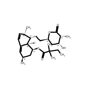 CCC(C)(C)C(=O)O[C@H]1C[C@@H](C)C=C2C=C[C@H](C)[C@H](CC[C@@H]3C[C@@H](O)[C@@H](C)C(=O)O3)[C@H]21